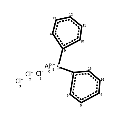 [Al+3].[Cl-].[Cl-].[Cl-].c1ccc(Sc2ccccc2)cc1